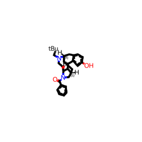 CC(C)(C)CN1CC[C@@]23c4cc(O)ccc4C[C@@H]1[C@]21CCC2C3[C@@H](CN2C(=O)c2ccccc2)C1